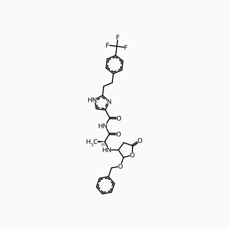 C[C@H](NC1CC(=O)OC1OCc1ccccc1)C(=O)NC(=O)c1c[nH]c(CCc2ccc(C(F)(F)F)cc2)n1